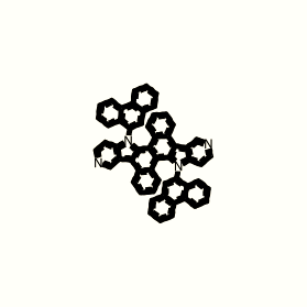 c1ccc2c(c1)cc(-n1c3ccncc3c3c4ccccc4c4c(c5ccccc5c5c6cnccc6n(-c6cc7ccccc7c7ccccc67)c54)c31)c1ccccc12